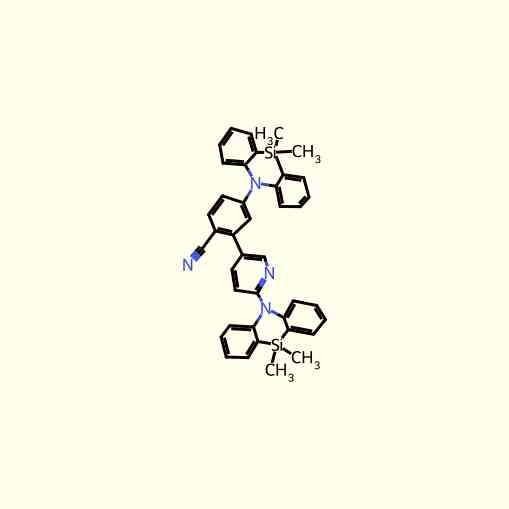 C[Si]1(C)c2ccccc2N(c2ccc(C#N)c(-c3ccc(N4c5ccccc5[Si](C)(C)c5ccccc54)nc3)c2)c2ccccc21